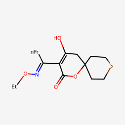 CCCC(=NOCC)C1=C(O)CC2(CCSCC2)OC1=O